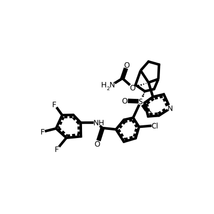 NC(=O)O[C@]1(c2cccnc2)C2CCC1C[C@H](S(=O)(=O)c1cc(C(=O)Nc3cc(F)c(F)c(F)c3)ccc1Cl)C2